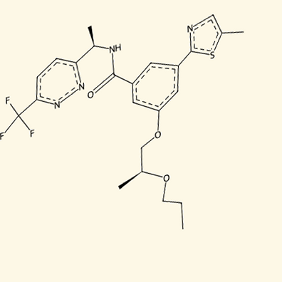 CCCO[C@@H](C)COc1cc(C(=O)N[C@H](C)c2ccc(C(F)(F)F)nn2)cc(-c2ncc(C)s2)c1